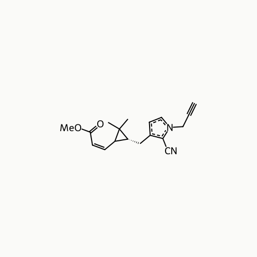 C#CCn1ccc(C[C@@H]2C(/C=C\C(=O)OC)C2(C)C)c1C#N